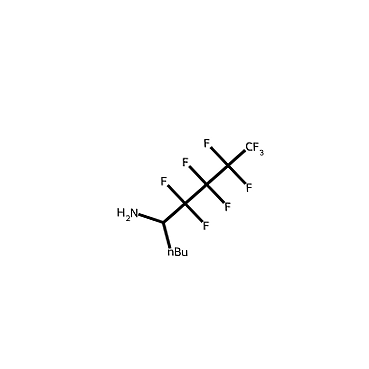 CCCCC(N)C(F)(F)C(F)(F)C(F)(F)C(F)(F)F